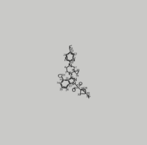 O=S(=O)(n1nc(N2CCN(c3ncc(F)cn3)CC23CC3)c2c(Cl)cccc21)C12CC(F)(C1)C2